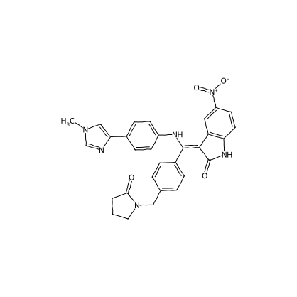 Cn1cnc(-c2ccc(NC(=C3C(=O)Nc4ccc([N+](=O)[O-])cc43)c3ccc(CN4CCCC4=O)cc3)cc2)c1